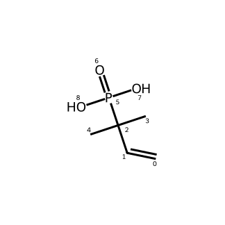 C=CC(C)(C)P(=O)(O)O